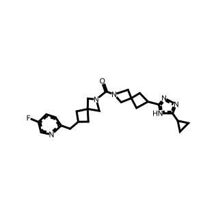 O=C(N1CC2(CC(Cc3ccc(F)cn3)C2)C1)N1CC2(CC(c3nnc(C4CC4)[nH]3)C2)C1